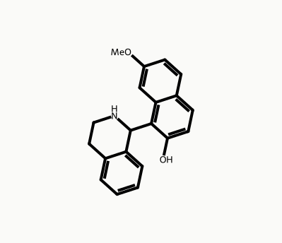 COc1ccc2ccc(O)c(C3NCCc4ccccc43)c2c1